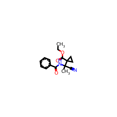 CCOC(=O)C1(C(C)(C#N)NC(=O)c2ccccc2)CC1